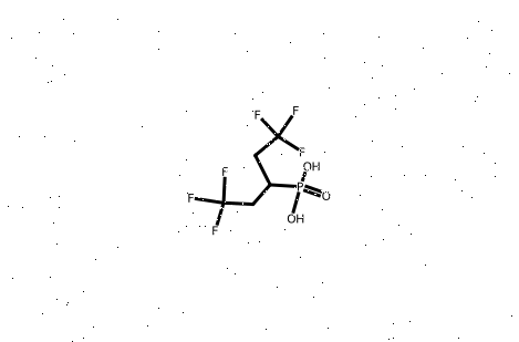 O=P(O)(O)C(CC(F)(F)F)CC(F)(F)F